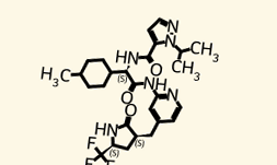 CC1CCC([C@H](NC(=O)c2ccnn2C(C)C)C(=O)Nc2cc(C[C@H]3C[C@@H](C(F)(F)F)NC3=O)ccn2)CC1